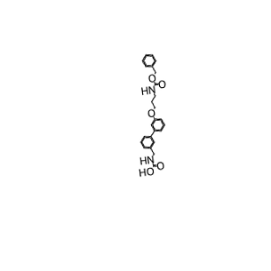 O=C(O)NCc1cccc(-c2cccc(OCCCNC(=O)OCc3ccccc3)c2)c1